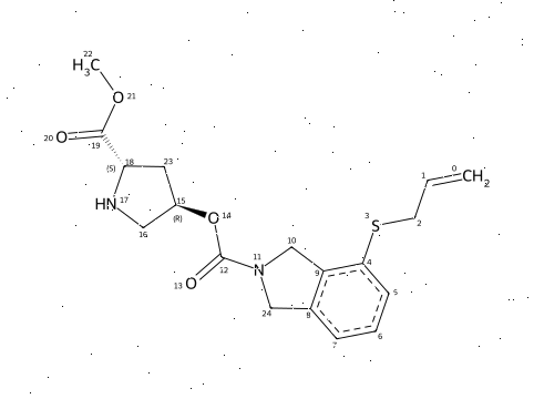 C=CCSc1cccc2c1CN(C(=O)O[C@H]1CN[C@H](C(=O)OC)C1)C2